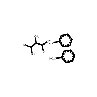 CCCC(O)C(C)C(O)CCC.O=C(O)c1ccccc1.O=S(=O)(O)c1ccccc1